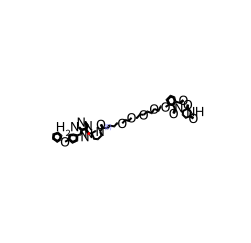 Nc1ncnc2c1c(-c1ccc(Oc3ccccc3)cc1)nn2C1CCCN(C(=O)/C=C/CCOCCOCCOCCOCCOc2cccc3c2C(=O)N(C2CCC(=O)NC2=O)C3=O)C1